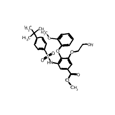 COC(=O)c1cc(NS(=O)(=O)c2ccc(C(C)(C)C)cc2)c(Oc2ccccc2OC)c(OCCO)c1